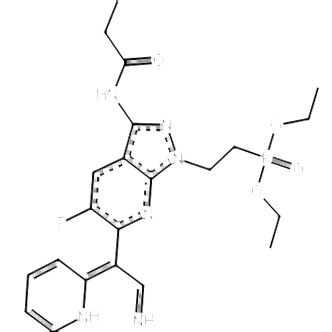 CCOP(=O)(CCn1nc(NC(=O)CC)c2cc(F)c(/C(C=N)=C3\C=CC=CN3)nc21)OCC